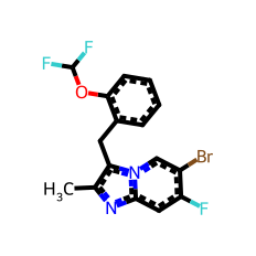 Cc1nc2cc(F)c(Br)cn2c1Cc1ccccc1OC(F)F